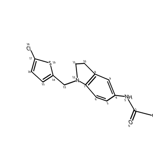 O=C(O)Nc1ccc2c(c1)CCN2Cc1ccc(Cl)s1